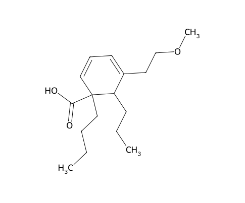 CCCCC1(C(=O)O)C=CC=C(CCOC)C1CCC